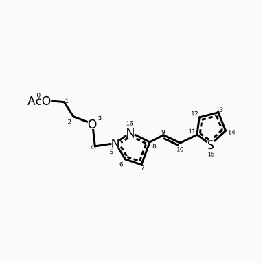 CC(=O)OCCOCn1ccc(/C=C/c2cccs2)n1